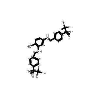 Oc1ccc(NCc2ccc(C3(C(F)(F)F)N=N3)cc2)cc1NCc1ccc(C2(C(F)(F)F)N=N2)cc1